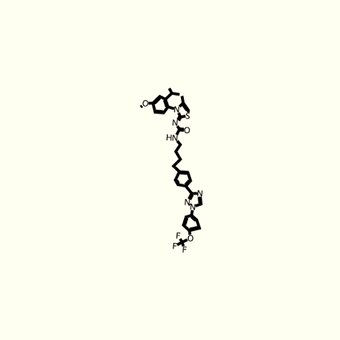 COc1ccc(-n2c(C)cs/c2=N\C(=O)NCCCCc2ccc(-c3ncn(-c4ccc(OC(F)(F)F)cc4)n3)cc2)c(C(C)C)c1